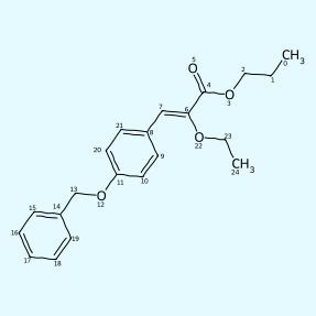 CCCOC(=O)C(=Cc1ccc(OCc2ccccc2)cc1)OCC